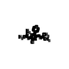 CC(C)N=Cc1nc(Cl)c(SC(C)C)nc1N1CCOCC1